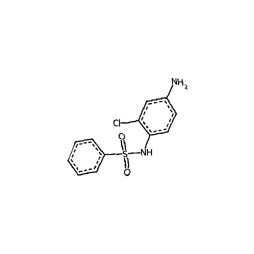 Nc1ccc(NS(=O)(=O)c2ccccc2)c(Cl)c1